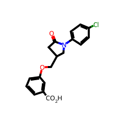 O=C(O)c1cccc(OCC2CC(=O)N(c3ccc(Cl)cc3)C2)c1